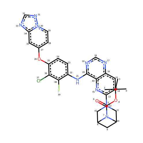 CC(C)(C)OC(=O)N1C2CC1CN(c1ccc3ncnc(Nc4ccc(Oc5ccn6ncnc6c5)c(Cl)c4F)c3n1)C2